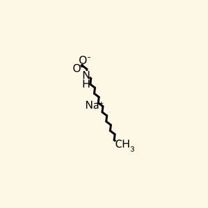 CCCCCCCCCCCCCCCNCC(=O)[O-].[Na+]